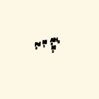 [AlH3].[Ni].[Ni].[Pd]